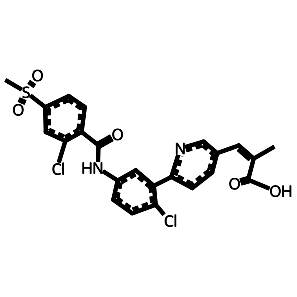 CC(=Cc1ccc(-c2cc(NC(=O)c3ccc(S(C)(=O)=O)cc3Cl)ccc2Cl)nc1)C(=O)O